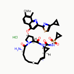 COc1ccc2c(O[C@@H]3C[C@H]4C(=O)N[C@]5(C(=O)NS(=O)(=O)C6CC6)C[C@H]5/C=C/CCCCC[C@H](N)C(=O)N4C3)cc(-c3nc(C4CC4)cs3)nc2c1C.Cl